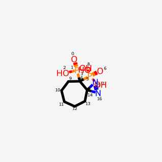 O=P(O)(O)C1(P(=O)(O)O)CCCCCC12N=N2